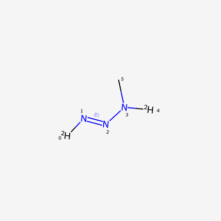 [2H]/N=N/N([2H])C